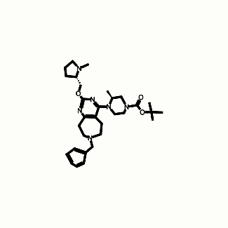 C[C@H]1CN(C(=O)OC(C)(C)C)CCN1c1nc(OC[C@@H]2CCCN2C)nc2c1CCN(Cc1ccccc1)CC2